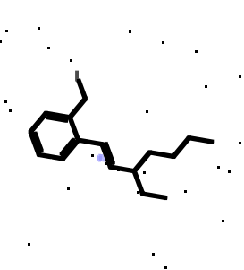 CCCCC(/C=C/c1ccccc1CI)CC